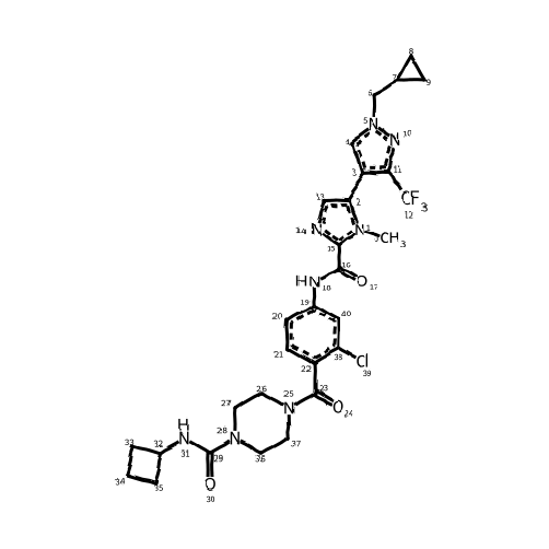 Cn1c(-c2cn(CC3CC3)nc2C(F)(F)F)cnc1C(=O)Nc1ccc(C(=O)N2CCN(C(=O)NC3CCC3)CC2)c(Cl)c1